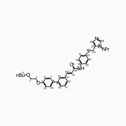 CCCCOCCOc1ccc(-c2cccc(/C=C/C(=O)Nc3ccc(SCc4cncn4CCC)cc3)c2)cc1